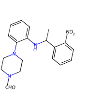 CC(Nc1ccccc1N1CCN(C=O)CC1)c1ccccc1[N+](=O)[O-]